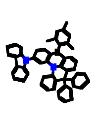 Cc1cc(C)c(B2c3ccc(-n4c5ccccc5c5ccccc54)cc3N3c4ccccc4C(c4ccccc4)(c4ccccc4)c4cccc2c43)c(C)c1